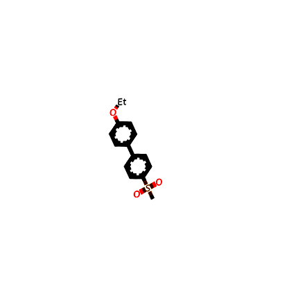 CCOc1ccc(-c2ccc(S(C)(=O)=O)cc2)cc1